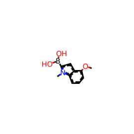 COc1cccc2c1cc(B(O)O)n2C